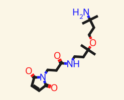 CC(C)(N)CCOC(C)(C)CCNC(=O)CCN1C(=O)C=CC1=O